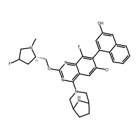 CN1CC(F)C[C@H]1COc1nc(N2CC3CCC(C2)N3)c2cc(Cl)c(-c3cc(O)cc4ccccc34)c(F)c2n1